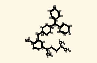 CN(C)CCN(C)c1ccc(C#N)c(CN2CCN(C(c3ccncc3)c3ccncc3)CC2)c1